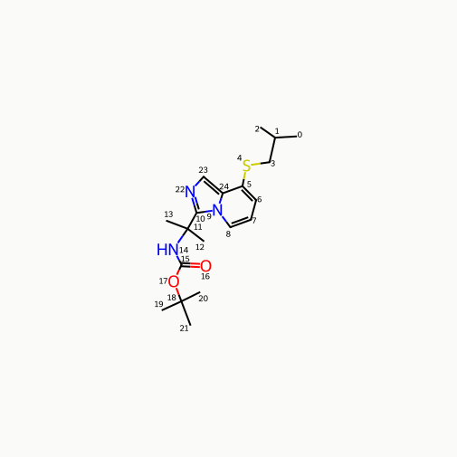 CC(C)CSc1cccn2c(C(C)(C)NC(=O)OC(C)(C)C)ncc12